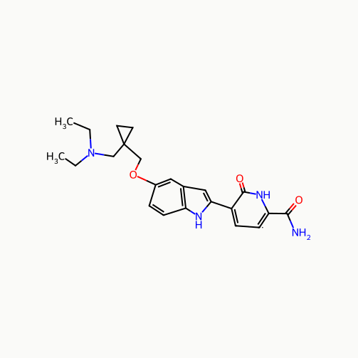 CCN(CC)CC1(COc2ccc3[nH]c(-c4c[c]c(C(N)=O)[nH]c4=O)cc3c2)CC1